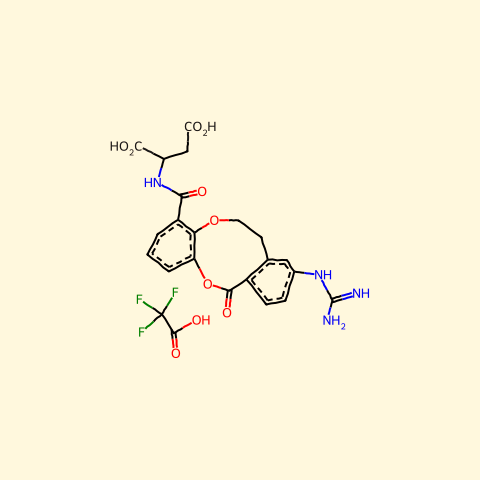 N=C(N)Nc1ccc2c(c1)CCOc1c(cccc1C(=O)NC(CC(=O)O)C(=O)O)OC2=O.O=C(O)C(F)(F)F